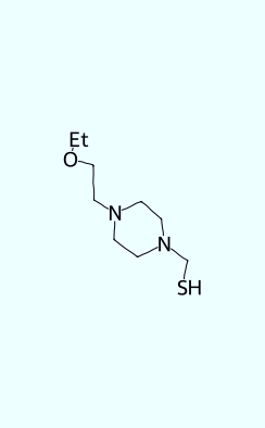 CCOCCN1CCN(CS)CC1